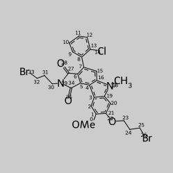 COc1cc2c3c4c(c(-c5ccccc5Cl)cc3n(C)c2cc1OCCCBr)C(=O)N(CCCBr)C4=O